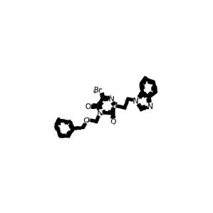 O=c1c(Br)nn(CCn2cnc3ccccc32)c(=O)n1COCc1ccccc1